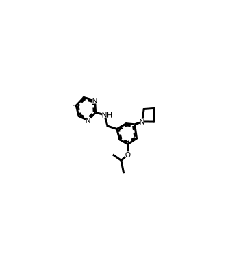 CC(C)Oc1cc(CNc2nc[c]cn2)cc(N2CCC2)c1